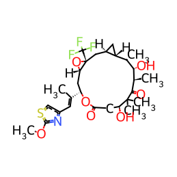 COc1nc(/C=C(\C)[C@@H]2C[C@@H]3O[C@]3(C(F)(F)F)C[C@H]3C[C@@H]3[C@H](C)[C@H](O)[C@@H](C)C(=O)C(C)(C)[C@@H](O)CC(=O)O2)cs1